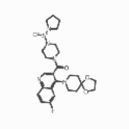 O=C(c1cnc2ccc(F)cc2c1N1CCC2(CC1)OCCO2)N1CCN([S+]([O-])N2CCCC2)CC1